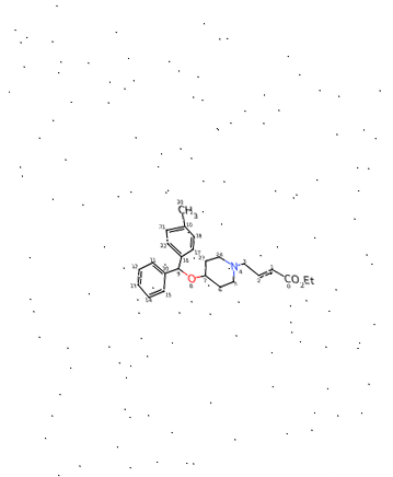 CCOC(=O)C=CCN1CCC(OC(c2ccccc2)c2ccc(C)cc2)CC1